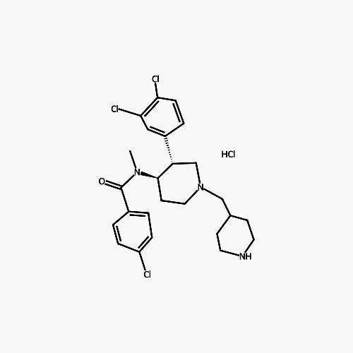 CN(C(=O)c1ccc(Cl)cc1)[C@@H]1CCN(CC2CCNCC2)C[C@H]1c1ccc(Cl)c(Cl)c1.Cl